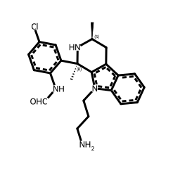 C[C@H]1Cc2c(n(CCCN)c3ccccc23)[C@@](C)(c2cc(Cl)ccc2NC=O)N1